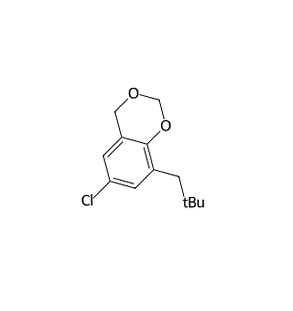 CC(C)(C)Cc1cc(Cl)cc2c1OCOC2